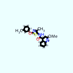 COc1cc(C(=O)Nc2sc(Oc3cccc(C)c3)nc2C)c2ccccc2n1